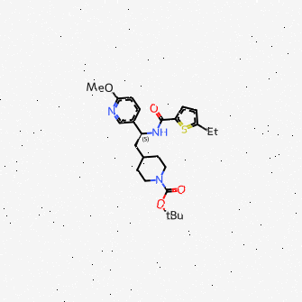 CCc1ccc(C(=O)N[C@@H](CC2CCN(C(=O)OC(C)(C)C)CC2)c2ccc(OC)nc2)s1